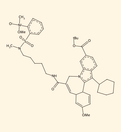 COC1=CC2C=C(C(=O)NCCCCCN(C)S(=O)(=O)c3ccccc3[N+](C)([O-])OC)Cn3c(c(C4CCCCC4)c4ccc(C(=O)OC(C)(C)C)cc43)C2C=C1